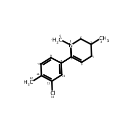 [CH2]N1CC(C)CC=C1c1ccc(C)c(Cl)c1